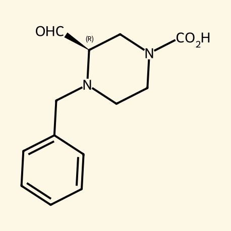 O=C[C@H]1CN(C(=O)O)CCN1Cc1ccccc1